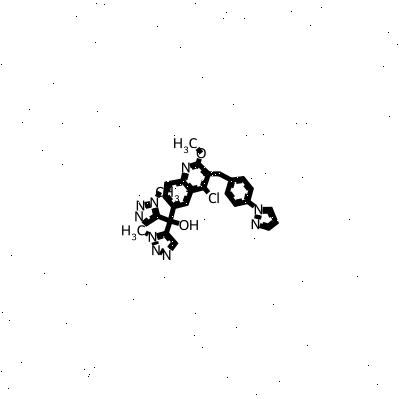 COc1nc2ccc(C(O)(c3cnnn3C)c3cnnn3C)cc2c(Cl)c1Cc1ccc(-n2cccn2)cc1